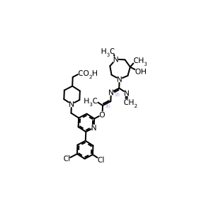 C=N/C(=N\C=C(/C)Oc1cc(CN2CCC(CC(=O)O)CC2)cc(-c2cc(Cl)cc(Cl)c2)n1)N1CCN(C)CC(C)(O)C1